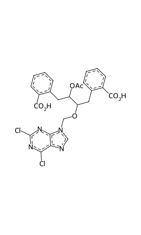 CC(=O)OC(Cc1ccccc1C(=O)O)C(Cc1ccccc1C(=O)O)OCn1cnc2c(Cl)nc(Cl)nc21